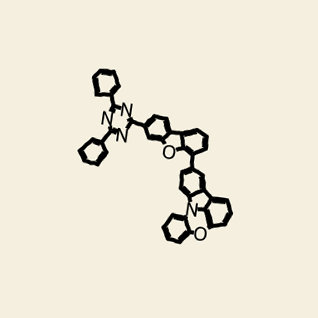 c1ccc(-c2nc(-c3ccccc3)nc(-c3ccc4c(c3)oc3c(-c5ccc6c(c5)c5cccc7c5n6-c5ccccc5O7)cccc34)n2)cc1